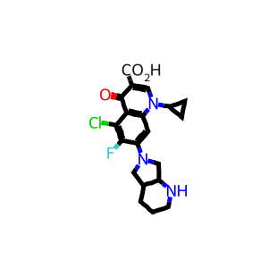 O=C(O)c1cn(C2CC2)c2cc(N3CC4CCCNC4C3)c(F)c(Cl)c2c1=O